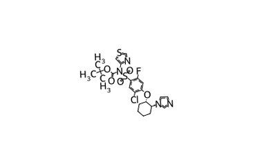 CC(C)(C)OC(=O)N(c1cscn1)S(=O)(=O)c1cc(Cl)c(O[C@H]2CCCC[C@@H]2n2ccnc2)cc1F